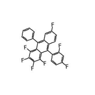 Fc1ccc(-c2c3ccc(F)cc3c(-c3ccccc3)c3c(F)c(F)c(F)c(F)c23)c(F)c1